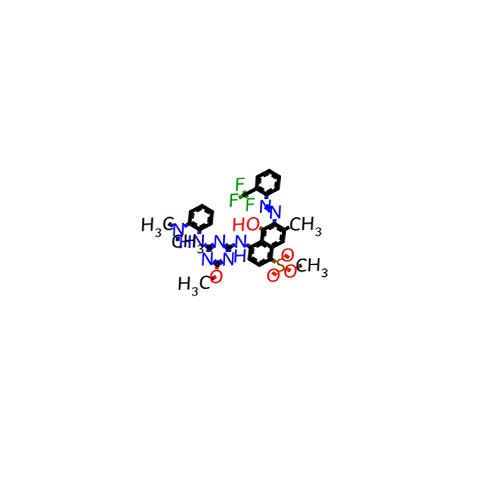 COc1nc(Nc2ccccc2N(C)C)nc(Nc2ccc(S(=O)(=O)OC)c3cc(C)c(N=Nc4ccccc4C(F)(F)F)c(O)c23)n1